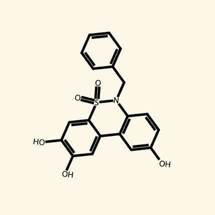 O=S1(=O)c2cc(O)c(O)cc2-c2cc(O)ccc2N1Cc1ccccc1